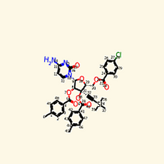 Cc1ccc(C(=O)O[C@H]2[C@H](n3ccc(N)nc3=O)O[C@H](COC(=O)c3ccc(Cl)cc3)[C@@]2(C#C[Si](C)(C)C)OC(=O)c2ccc(C)cc2)cc1